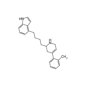 Cc1ccccc1C1=CCNC(CCCCc2cccc3[nH]ccc23)C1